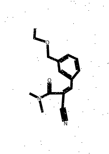 [CH2]COCc1cccc(C=C(C#N)C(=O)N(C)C)c1